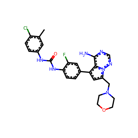 Cc1cc(NC(=O)Nc2ccc(-c3cc(CN4CCOCC4)n4ncnc(N)c34)cc2F)ccc1Cl